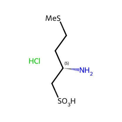 CSCC[C@H](N)CS(=O)(=O)O.Cl